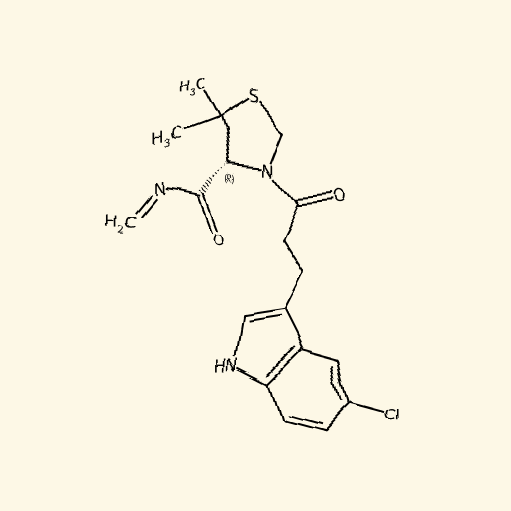 C=NC(=O)[C@H]1N(C(=O)CCc2c[nH]c3ccc(Cl)cc23)CSC1(C)C